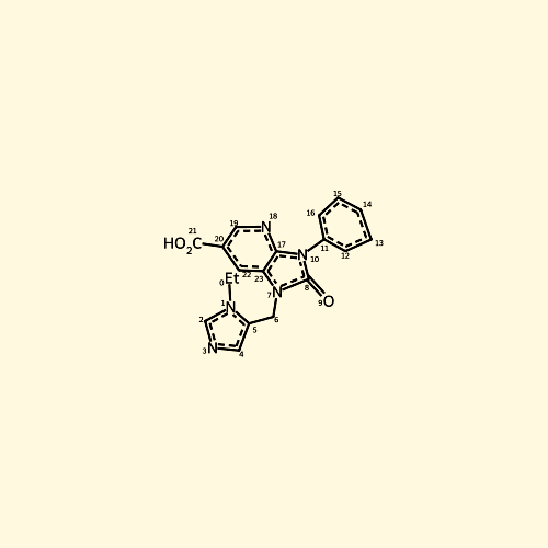 CCn1cncc1Cn1c(=O)n(-c2ccccc2)c2ncc(C(=O)O)cc21